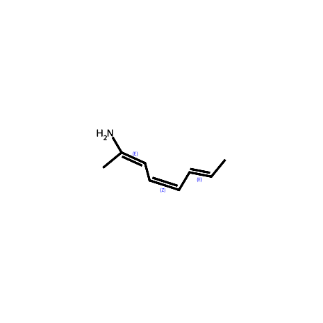 C/C=C/C=C\C=C(/C)N